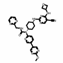 COc1ncc(-c2ccc(N(C(=O)NCc3ncccn3)[C@H]3CC[C@H](Nc4ncc(C#N)c(NC5COC5)n4)CC3)nc2)cn1